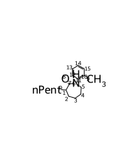 CCCCCC1CCCCNC1=O.Cc1ccccc1